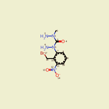 CN(N)C(=O)N(N)c1cccc([N+](=O)[O-])c1CBr